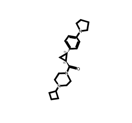 O=C([C@H]1C[C@@H]1c1ccc(N2CCCC2)cc1)N1CCN(C2CCC2)CC1